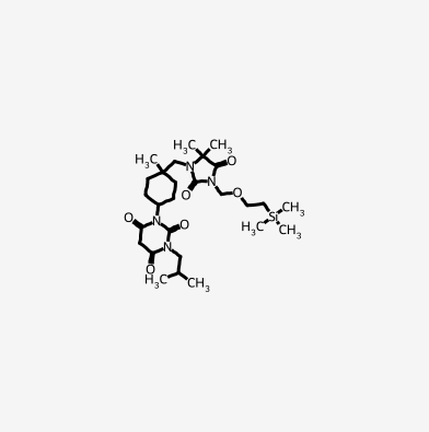 CC(C)CN1C(=O)CC(=O)N(C2CCC(C)(CN3C(=O)N(COCC[Si](C)(C)C)C(=O)C3(C)C)CC2)C1=O